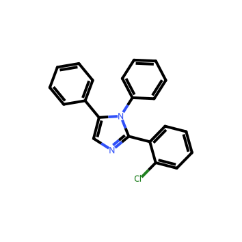 Clc1ccccc1-c1ncc(-c2ccccc2)n1-c1ccccc1